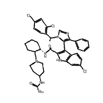 CC(c1ccc(Cl)cc1Cl)n1cnc(-c2ccccc2)c1-c1c(C(=O)N[C@H]2CCCCC2N2CCC(NC(=O)C(C)(C)C)CC2)[nH]c2cc(Cl)ccc12